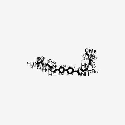 COC(=O)N[C@@](C)(C(=O)N[C@H](c1nc(-c2ccc(-c3ccc(-c4c[nH]c([C@@H](NC(=O)C(C)(C)C(C)C)C(C)(C)C)n4)cc3)cc2)c[nH]1)C(C)(C)C)C(C)C